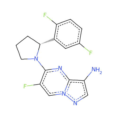 Nc1cnn2cc(F)c(N3CCC[C@@H]3c3cc(F)ccc3F)nc12